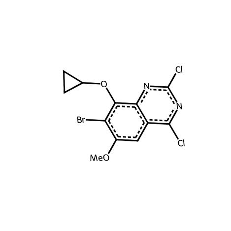 COc1cc2c(Cl)nc(Cl)nc2c(OC2CC2)c1Br